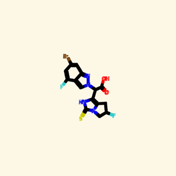 O=C(O)C(c1[nH]c(=S)n2c1CC(F)C2)n1cc2c(F)cc(Br)cc2n1